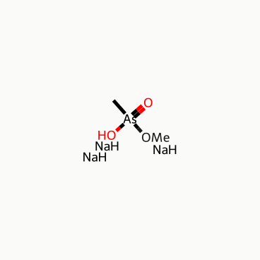 CO[As](C)(=O)O.[NaH].[NaH].[NaH]